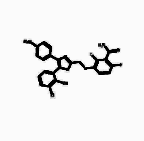 COc1ccc(-c2nc(COc3ccc(F)c(C(N)=O)c3F)oc2-c2cccc(Cl)c2O)cc1